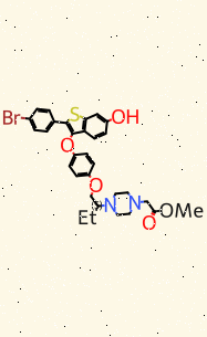 CC[C@@H](COc1ccc(Oc2c(-c3ccc(Br)cc3)sc3cc(O)ccc23)cc1)N1CCN(CC(=O)OC)CC1